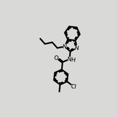 CCCCn1c(NC(=O)c2ccc(C)c(Cl)c2)nc2ccccc21